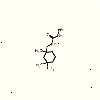 CCCNC(=O)NCC1(C)C[CH]CC(C)(C)C1